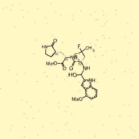 COC(=O)[C@H](C[C@@H]1CCNC1=O)NC(=O)[C@H](CC(C)(C)F)NC(O)c1cc2c(OC)cccc2[nH]1